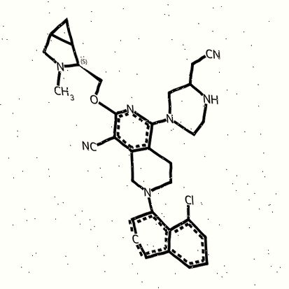 CN1CC2CC2[C@H]1COc1nc(N2CCNC(CC#N)C2)c2c(c1C#N)CN(c1cccc3cccc(Cl)c13)CC2